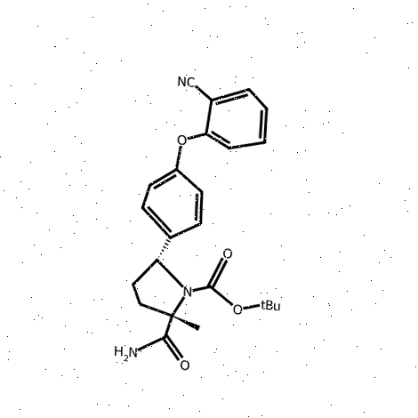 CC(C)(C)OC(=O)N1[C@@H](c2ccc(Oc3ccccc3C#N)cc2)CC[C@@]1(C)C(N)=O